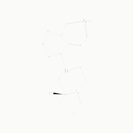 c1cc2c(c(N3CCN4CCC[C@@H]4C3)c1)CCNC2